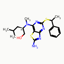 CC(C)C[C@H](CO)N(C)c1nc(SC(C)c2ccccc2)nc2nc(N)sc12